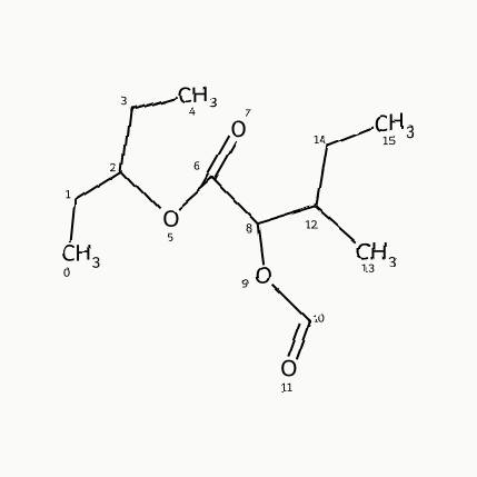 CCC(CC)OC(=O)C(O[C]=O)C(C)CC